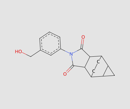 O=C1C2C3CCC(C4CC43)C2C(=O)N1c1cccc(CO)c1